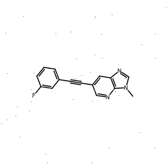 Cn1cnc2cc(C#Cc3cccc(F)c3)cnc21